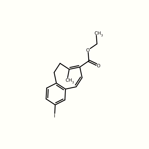 CCOC(=O)C1=C(/C)CCc2ccc(I)cc2/C=C\1